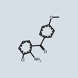 COc1ccc(C(=O)c2cccc(Cl)c2N)cc1